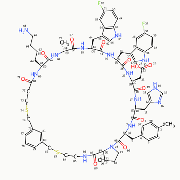 Cc1ccc(C[C@@H]2NC(=O)[C@H](Cc3c[nH]cn3)NC(=O)[C@H](CC(=O)O)NC(=O)[C@H](Cc3c[nH]c4ccc(F)cc34)NC(=O)[C@H](Cc3c[nH]c4ccc(F)cc34)NC(=O)[C@@H](C)NC(=O)[C@H](CCCCN)NC(=O)CCSCc3cccc(c3)CSCCNC(=O)[C@]3(C)CCCN3C2=O)cc1